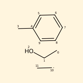 CCO.Cc1ccccc1.[CH2]C